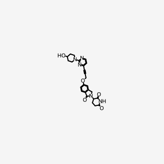 O=C1CCC(N2Cc3cc(OCC#Cc4ccnc(N5CCC(O)CC5)n4)ccc3C2=O)C(=O)N1